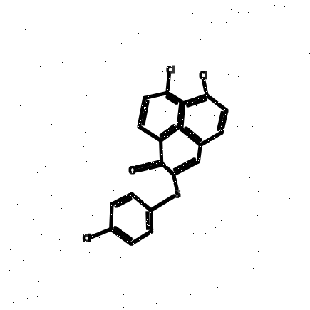 O=C(/C(=C\c1ccc(Cl)cc1)Sc1ccc(Cl)cc1)c1ccc(Cl)cc1